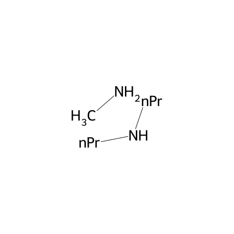 CCCNCCC.CN